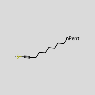 CCCCCCCCCCCCC#C[S]